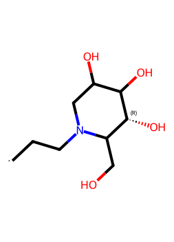 [CH2]CCN1CC(O)C(O)[C@H](O)C1CO